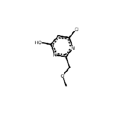 COCc1nc(O)cc(Cl)n1